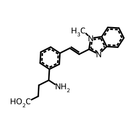 Cn1c(C=Cc2cccc(C(N)CCC(=O)O)c2)nc2ccccc21